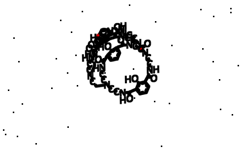 O=C1NCCN2CCNC(=O)c3cccc(c3O)C(=O)NCCN(CCNC(=O)c3cccc1c3O)C(=O)N1CCNC(=O)c3cccc(c3O)C(=O)NCCN(CCNC(=O)c3cccc(c3O)C(=O)NCC1)CC2